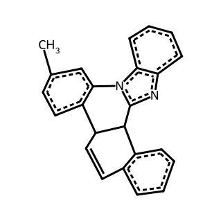 Cc1ccc2c(c1)-n1c(nc3ccccc31)C1c3ccccc3C=CC21